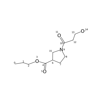 CCCOC(=O)C1CCN(C(=O)CC[O])C1